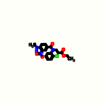 CCOC(=O)CCN(C(=O)c1ccc(NC)c([N+](=O)[O-])c1)c1ccccc1Cl